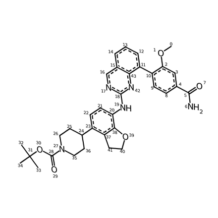 COc1cc(C(N)=O)ccc1-c1cccc2cnc(Nc3ccc(C4CCN(C(=O)OC(C)(C)C)CC4)c4c3OCC4)nc12